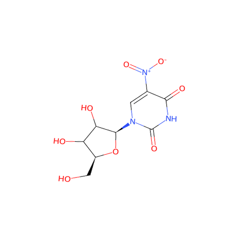 O=c1[nH]c(=O)n([C@H]2O[C@@H](CO)C(O)C2O)cc1[N+](=O)[O-]